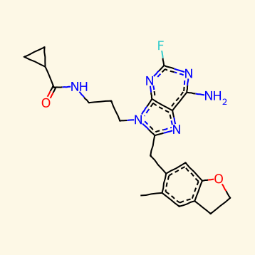 Cc1cc2c(cc1Cc1nc3c(N)nc(F)nc3n1CCCNC(=O)C1CC1)OCC2